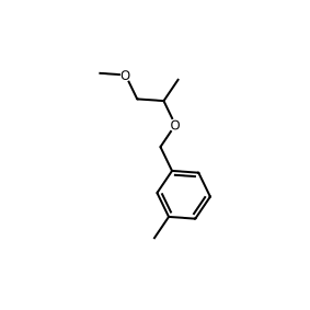 COCC(C)OCc1cccc(C)c1